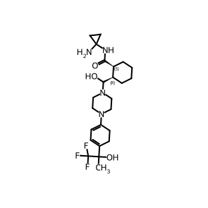 CC(O)(C1=CC=C(N2CCN(C(O)[C@@H]3CCCC[C@@H]3C(=O)NC3(N)CC3)CC2)CC1)C(F)(F)F